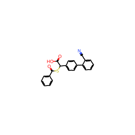 N#Cc1ccccc1-c1ccc(C(SC(=O)c2ccccc2)C(=O)O)cc1